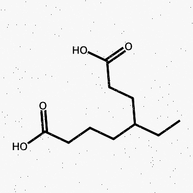 CCC(CCCC(=O)O)CCC(=O)O